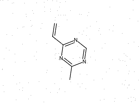 C=Cc1ncnc(C)n1